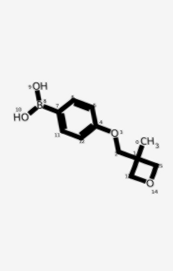 CC1(COc2ccc(B(O)O)cc2)COC1